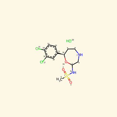 CS(=O)(=O)NC1CNCC[C@H](c2ccc(Cl)c(Cl)c2)O1.Cl